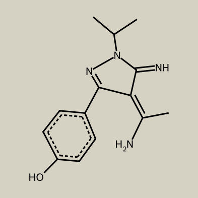 C/C(N)=C1\C(=N)N(C(C)C)N=C1c1ccc(O)cc1